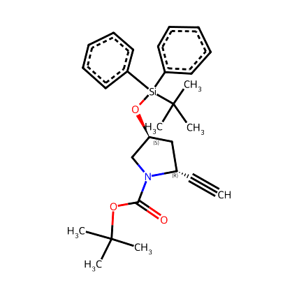 C#C[C@H]1C[C@H](O[Si](c2ccccc2)(c2ccccc2)C(C)(C)C)CN1C(=O)OC(C)(C)C